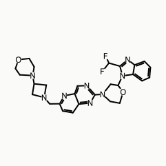 FC(F)c1nc2ccccc2n1C1CN(c2ncc3nc(CN4CC(N5CCOCC5)C4)ccc3n2)CCO1